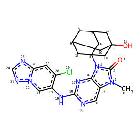 Cn1c(=O)n(C23CC4CC(CC(O)(C4)C2)C3)c2nc(Nc3cn4ncnc4cc3Cl)ncc21